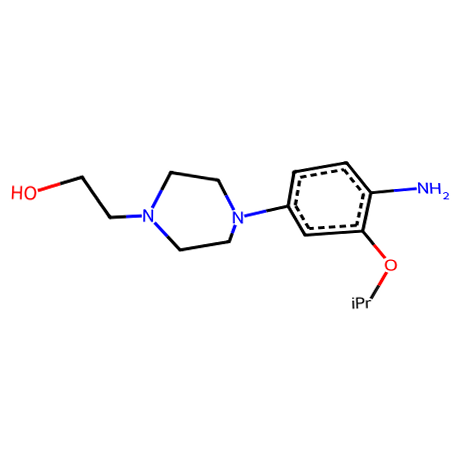 CC(C)Oc1cc(N2CCN(CCO)CC2)ccc1N